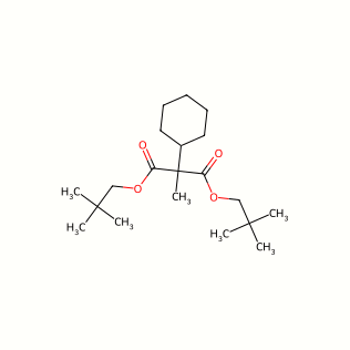 CC(C)(C)COC(=O)C(C)(C(=O)OCC(C)(C)C)C1CCCCC1